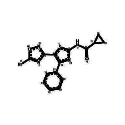 CCc1nc(-c2sc(NC(=O)C3CC3)nc2-c2ccccc2)no1